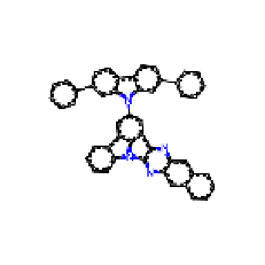 c1ccc(-c2ccc3c4ccc(-c5ccccc5)cc4n(-c4cc5c6ccccc6n6c7nc8cc9ccccc9cc8nc7c(c4)c56)c3c2)cc1